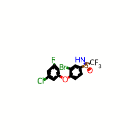 N=S(=O)(c1ccc(Oc2cc(F)cc(Cl)c2)c(Br)c1)C(F)(F)F